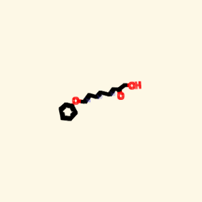 O=C(/C=C/C=C/C=C/Oc1ccccc1)CO